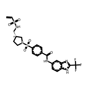 C=CS(=O)(=O)NC[C@H]1CCN(S(=O)(=O)c2ccc(C(=O)Nc3ccc4[nH]c(C(F)(F)F)nc4c3)cc2)C1